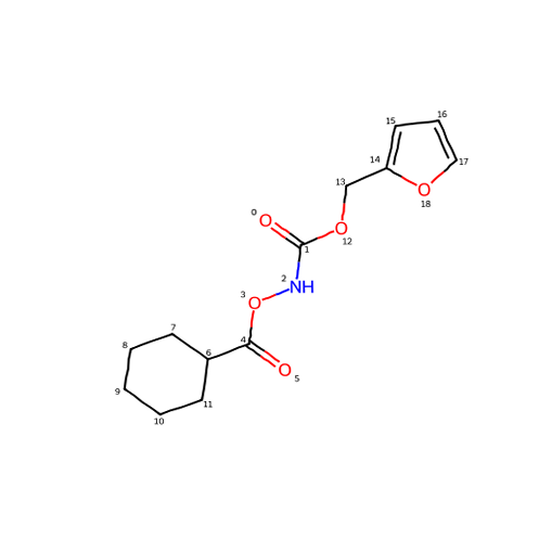 O=C(NOC(=O)C1CCCCC1)OCc1ccco1